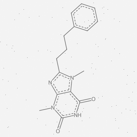 Cn1c(CCCc2ccccc2)nc2c1c(=O)[nH]c(=O)n2C